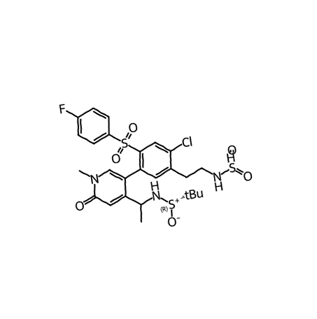 CC(N[S@@+]([O-])C(C)(C)C)c1cc(=O)n(C)cc1-c1cc(CCN[SH](=O)=O)c(Cl)cc1S(=O)(=O)c1ccc(F)cc1